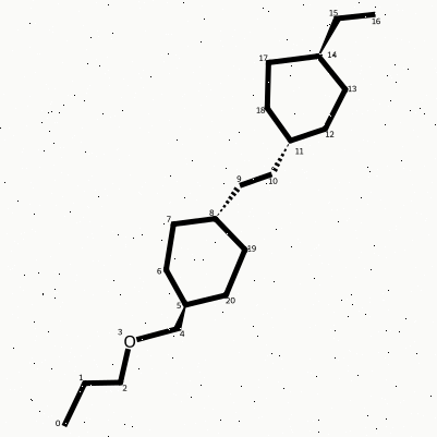 CCCOC[C@H]1CC[C@H](CC[C@H]2CC[C@H](CC)CC2)CC1